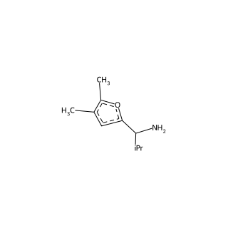 Cc1cc(C(N)C(C)C)oc1C